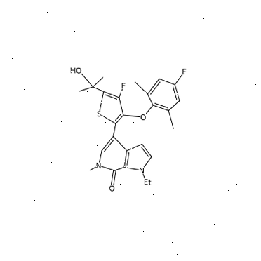 CCn1ccc2c(-c3sc(C(C)(C)O)c(F)c3Oc3c(C)cc(F)cc3C)cn(C)c(=O)c21